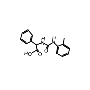 Cc1ccccc1NC(=O)NC(C(=O)O)c1ccccc1